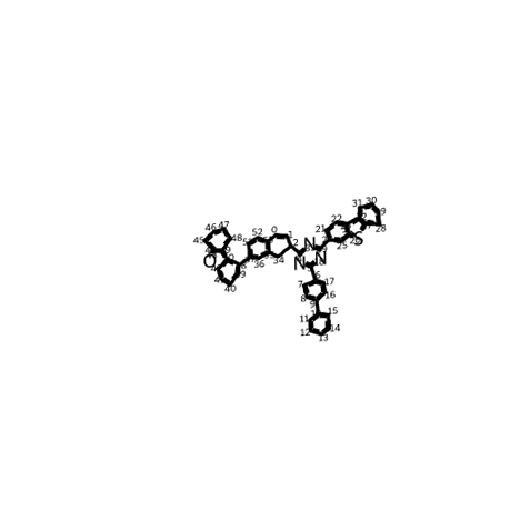 C1=CC(c2nc(-c3ccc(-c4ccccc4)cc3)nc(-c3ccc4c(c3)sc3ccccc34)n2)Cc2cc(-c3cccc4oc5ccccc5c34)ccc21